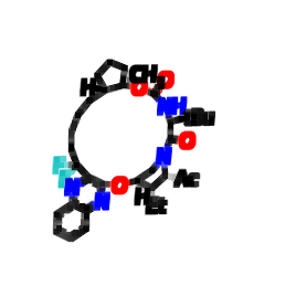 CC[C@@H]1[C@@H]2CN(C(=O)[C@H](C(C)(C)C)NC(=O)O[C@]3(C)CCC[C@H]3CCCCC(F)(F)c3nc4ccccc4nc3O2)[C@@H]1C(C)=O